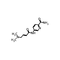 CN(C)CC=CC(=O)Nc1ccc(C(N)=O)nc1